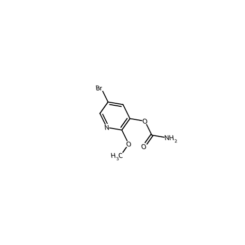 COc1ncc(Br)cc1OC(N)=O